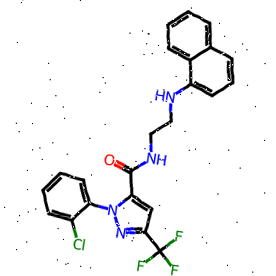 O=C(NCCNc1cccc2ccccc12)c1cc(C(F)(F)F)nn1-c1ccccc1Cl